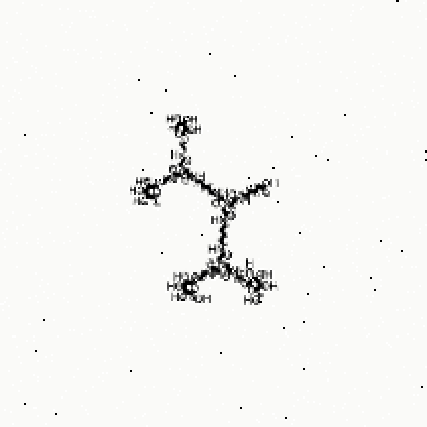 C[C@@H]1O[C@@H](OCCNC(=O)CN(CC(=O)NCCCCCNC(=O)CN(CC(=O)NCCCCCNC(=O)CN(CC(=O)NCCO[C@H]2O[C@H](CO)[C@@H](O)[C@H](O)[C@@H]2O)CC(=O)NCCO[C@H]2O[C@H](CO)[C@@H](O)[C@H](O)[C@@H]2O)CC(=O)NCCCCCC(=O)O)CC(=O)NCCO[C@@H]2O[C@@H](C)[C@@H](O)[C@@H](O)[C@@H]2O)[C@@H](O)[C@H](O)[C@@H]1O